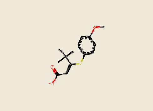 COc1ccc(SC(=CC(=O)O)C(C)(C)C)cc1